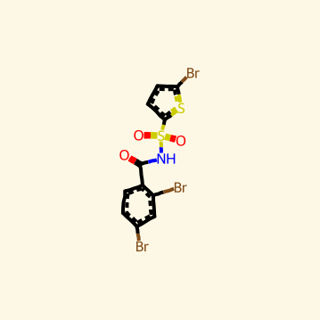 O=C(NS(=O)(=O)c1ccc(Br)s1)c1ccc(Br)cc1Br